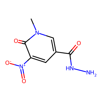 Cn1cc(C(=O)NN)cc([N+](=O)[O-])c1=O